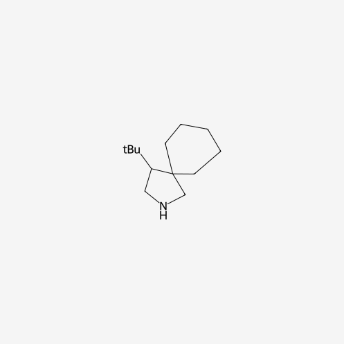 CC(C)(C)C1CNCC12CCCCC2